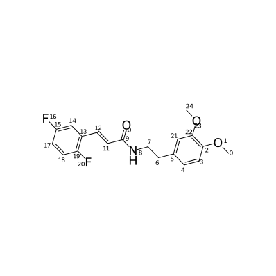 COc1ccc(CCNC(=O)C=Cc2cc(F)ccc2F)cc1OC